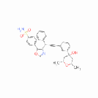 CC1CC(O)(c2cccc(C#CC(c3ccccc3)c3ncoc3-c3ccc(S(N)(=O)=O)cc3)c2)CC(C)O1